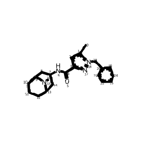 Cc1cc(C(=O)NC2CC3CCCC(C2)N3C)nn1Cc1ccccc1